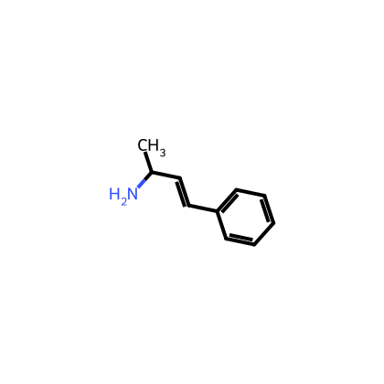 CC(N)C=Cc1ccccc1